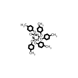 Cc1ccc(OP2(Cl)=NP(Oc3ccc(C)cc3)(Oc3ccc(C)cc3)=NP(Oc3ccc(C)cc3)(Oc3ccc(C)cc3)=N2)cc1